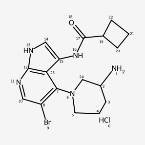 Cl.NC1CCCN(c2c(Br)cnc3[nH]cc(NC(=O)C4CCC4)c23)C1